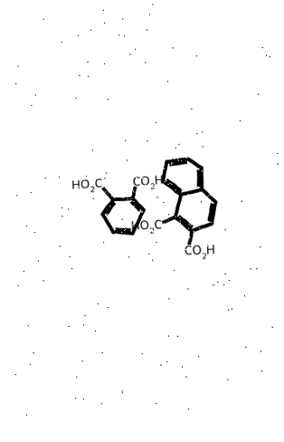 O=C(O)c1ccc2ccccc2c1C(=O)O.O=C(O)c1ccccc1C(=O)O